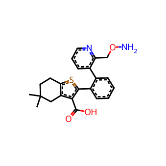 CC1(C)CCc2sc(-c3ccccc3-c3cccnc3CON)c(C(=O)O)c2C1